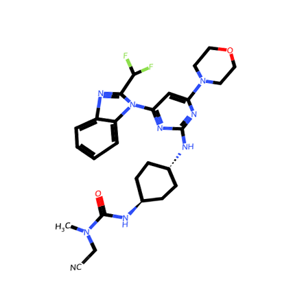 CN(CC#N)C(=O)N[C@H]1CC[C@H](Nc2nc(N3CCOCC3)cc(-n3c(C(F)F)nc4ccccc43)n2)CC1